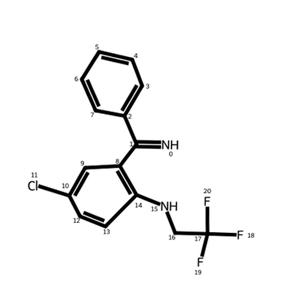 N=C(c1ccccc1)c1cc(Cl)ccc1NCC(F)(F)F